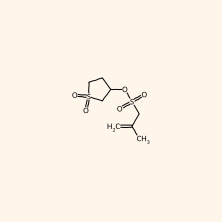 C=C(C)CS(=O)(=O)OC1CCS(=O)(=O)C1